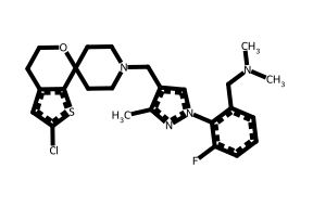 Cc1nn(-c2c(F)cccc2CN(C)C)cc1CN1CCC2(CC1)OCCc1cc(Cl)sc12